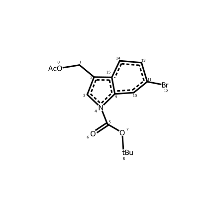 CC(=O)OCc1cn(C(=O)OC(C)(C)C)c2cc(Br)ccc12